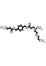 CCCOCCN(C)CCC(=O)OCC1CCC(COC(=O)CCC)CC1